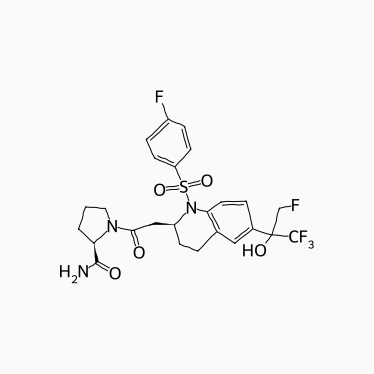 NC(=O)[C@H]1CCCN1C(=O)C[C@@H]1CCc2cc(C(O)(CF)C(F)(F)F)ccc2N1S(=O)(=O)c1ccc(F)cc1